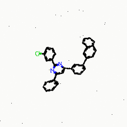 Clc1cccc(-c2nc(-c3ccccc3)cc(-c3cccc(-c4ccc5ccccc5c4)c3)n2)c1